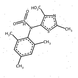 Cc1cc(C)c(N(c2sc(C)nc2C(=O)O)[SH](=O)=O)c(C)c1